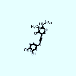 CCCCNc1ncc(C#CCc2ccc(Cl)c(O)c2)c(=O)n1C